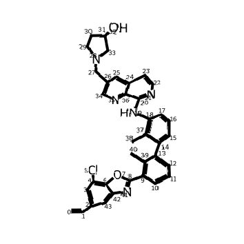 C=Cc1cc(Cl)c2oc(-c3cccc(-c4cccc(Nc5nccc6cc(CN7CCC(O)C7)cnc56)c4C)c3C)nc2c1